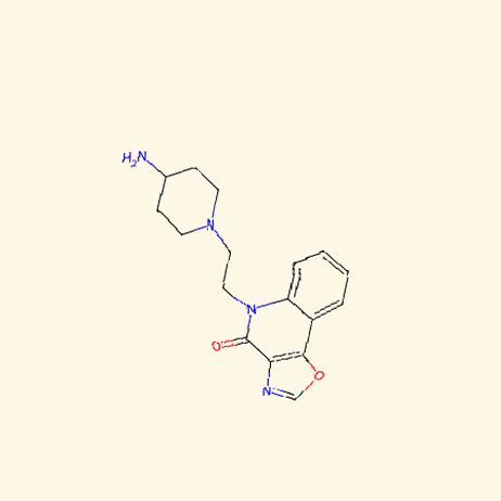 NC1CCN(CCn2c(=O)c3ncoc3c3ccccc32)CC1